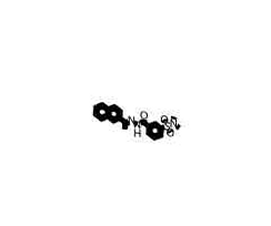 CC(=NNC(=O)c1cccc(S(=O)(=O)N(C)C)c1)c1ccc2ccccc2c1